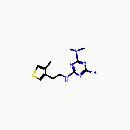 Cc1cscc1CCNc1nc(N)nc(N(C)C)n1